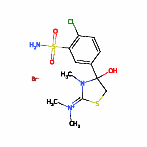 CN1C(=[N+](C)C)SCC1(O)c1ccc(Cl)c(S(N)(=O)=O)c1.[Br-]